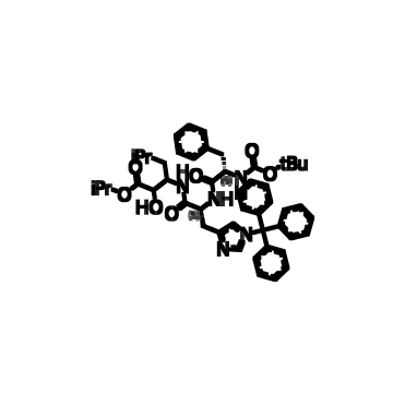 CC(C)CC(NC(=O)[C@H](Cc1cn(C(c2ccccc2)(c2ccccc2)c2ccccc2)cn1)NC(=O)[C@H](Cc1ccccc1)NC(=O)OC(C)(C)C)C(O)C(=O)OC(C)C